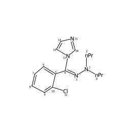 CCCN(CCC)N=C(c1ccccc1Cl)n1ccnc1